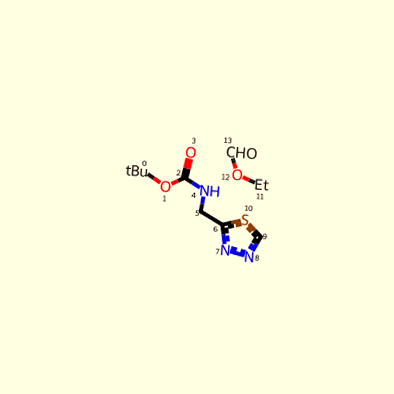 CC(C)(C)OC(=O)NCc1nncs1.CCOC=O